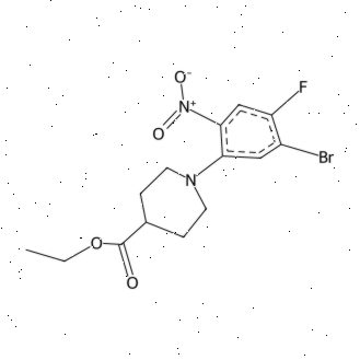 CCOC(=O)C1CCN(c2cc(Br)c(F)cc2[N+](=O)[O-])CC1